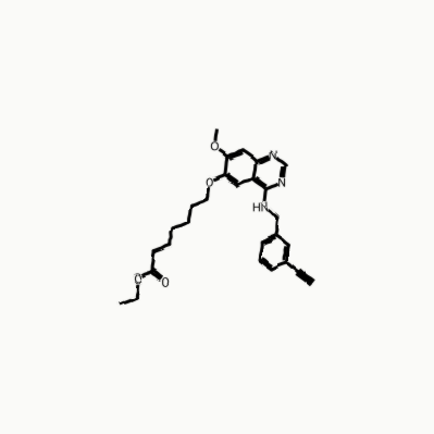 C#Cc1cccc(CNc2ncnc3cc(OC)c(OCCCCCCC(=O)OCC)cc23)c1